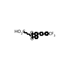 O=C(O)CCCCCN1C(=O)c2cccc3c(N4CCN(c5ccc(C(F)(F)F)cc5)CC4)ccc(c23)C1=O